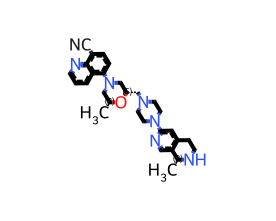 C[C@@H]1CN(c2ccc(C#N)c3ncccc23)C[C@H](CN2CCN(c3cc4c(cn3)[C@@H](C)NCC4)CC2)O1